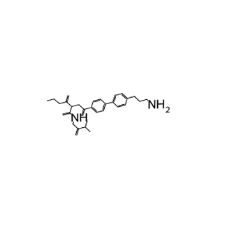 C=C(CC(C(=C)CCC)C(=C)NCC(=C)C(C)C)c1ccc(-c2ccc(CCCN)cc2)cc1